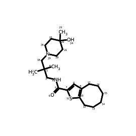 CC(C)(CNC(=O)c1cc2c(s1)CCCCCC2)CN1CCC(C)(O)CC1